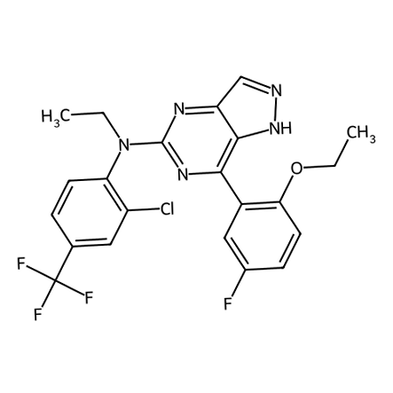 CCOc1ccc(F)cc1-c1nc(N(CC)c2ccc(C(F)(F)F)cc2Cl)nc2cn[nH]c12